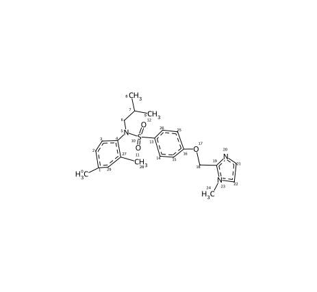 Cc1ccc(N(CC(C)C)S(=O)(=O)c2ccc(OCc3nccn3C)cc2)c(C)c1